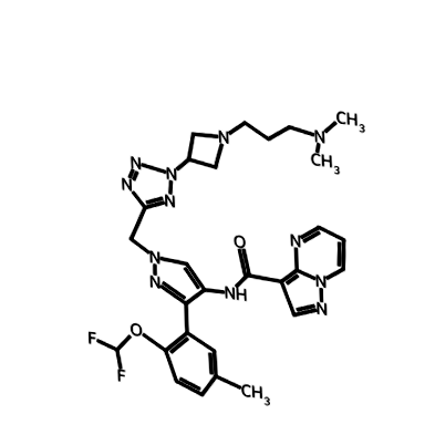 Cc1ccc(OC(F)F)c(-c2nn(Cc3nnn(C4CN(CCCN(C)C)C4)n3)cc2NC(=O)c2cnn3cccnc23)c1